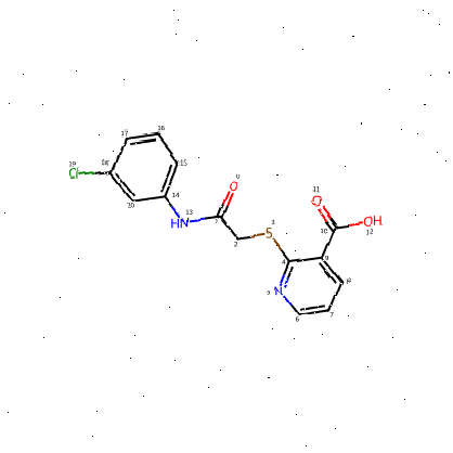 O=C(CSc1ncccc1C(=O)O)Nc1cccc(Cl)c1